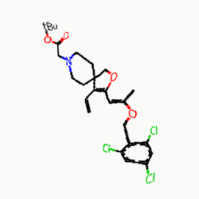 C=CC1=C(/C=C(\C)OCc2c(Cl)cc(Cl)cc2Cl)OCC12CCN(CC(=O)OC(C)(C)C)CC2